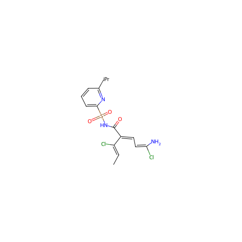 C/C=C(Cl)/C(=C\C=C(/N)Cl)C(=O)NS(=O)(=O)c1cccc(C(C)C)n1